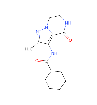 Cc1nn2c(c1NC(=O)C1CCCCC1)C(=O)NCC2